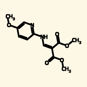 COC(=O)C(=CNc1ccc(OC)cn1)C(=O)OC